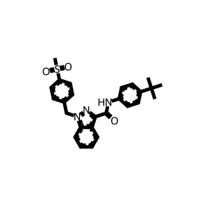 CC(C)(C)c1ccc(NC(=O)c2nn(Cc3ccc(S(C)(=O)=O)cc3)c3ccccc23)cc1